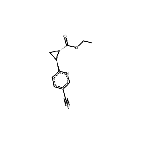 CCOC(=O)[C@H]1C[C@@H]1c1ccc(C#N)cn1